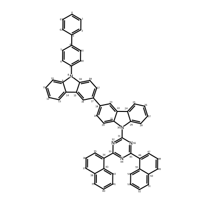 c1ccc(-c2ccc(-n3c4ccccc4c4cc(-c5ccc6c(c5)c5ccccc5n6-c5nc(-c6cccc7ccccc67)nc(-c6cccc7ccccc67)n5)ccc43)cc2)cc1